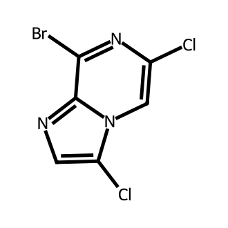 Clc1cn2c(Cl)cnc2c(Br)n1